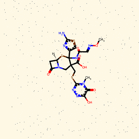 CON=CC(=O)NC1(c2csc(N)n2)S[C@@H]2CC(=O)N2CC1(CSc1nnc(O)c(=O)n1C)C(=O)O